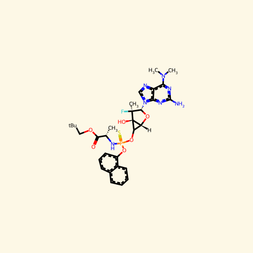 C[C@H](NP(=S)(Oc1cccc2ccccc12)OC1[C@H]2O[C@@H](n3cnc4c(N(C)C)nc(N)nc43)[C@](C)(F)[C@@]12O)C(=O)OCC(C)(C)C